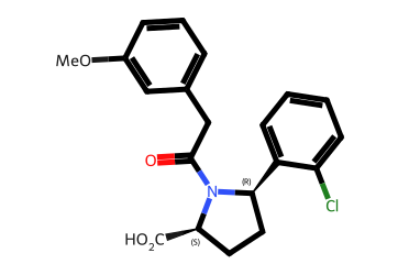 COc1cccc(CC(=O)N2[C@@H](c3ccccc3Cl)CC[C@H]2C(=O)O)c1